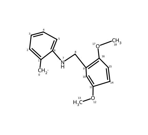 [CH2]c1ccccc1NCc1cc(OC)ccc1OC